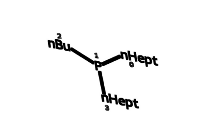 CCCCCCCP(CCCC)CCCCCCC